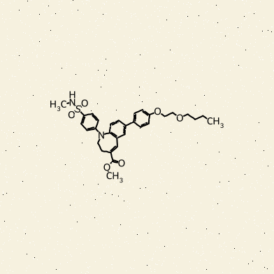 CCCCOCCOc1ccc(-c2ccc3c(c2)C=C(C(=O)OC)CCN3c2ccc(S(=O)(=O)NC)cc2)cc1